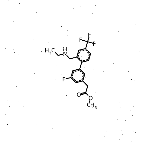 CCNCc1cc(C(F)(F)F)ccc1-c1cc(F)cc(CC(=O)OC)c1